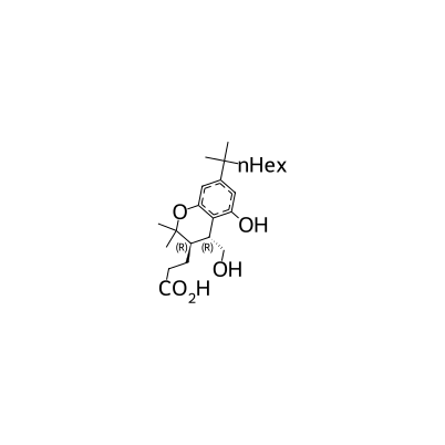 CCCCCCC(C)(C)c1cc(O)c2c(c1)OC(C)(C)[C@H](CCC(=O)O)[C@H]2CO